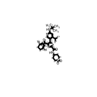 CC(C)(C)Nc1cc(C(F)F)c(-c2sc(C(=O)NC3CCS(=O)(=O)CC3)nc2C(=O)N2[C@H]3CC[C@@H]2CC3)cn1